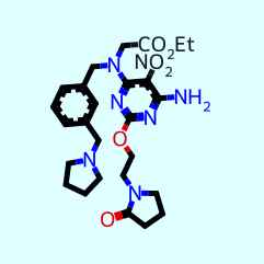 CCOC(=O)CN(Cc1cccc(CN2CCCC2)c1)c1nc(OCCN2CCCC2=O)nc(N)c1[N+](=O)[O-]